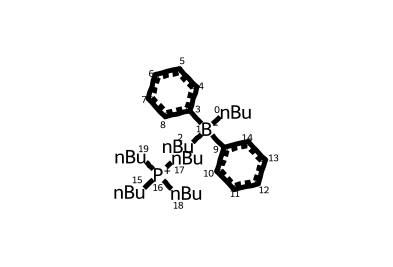 CCCC[B-](CCCC)(c1ccccc1)c1ccccc1.CCCC[P+](CCCC)(CCCC)CCCC